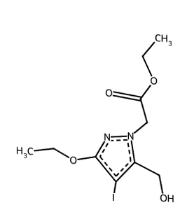 CCOC(=O)Cn1nc(OCC)c(I)c1CO